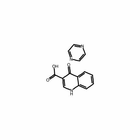 O=C(O)c1c[nH]c2ccccc2c1=O.c1cnccn1